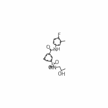 Cc1cc(NC(=O)c2cccc(S(=O)(=O)NCC(C)O)c2)ccc1F